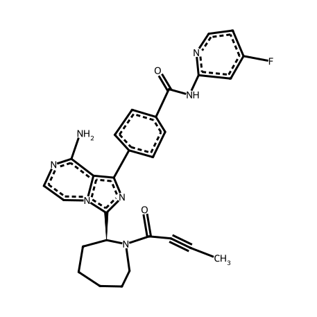 CC#CC(=O)N1CCCCC[C@H]1c1nc(-c2ccc(C(=O)Nc3cc(F)ccn3)cc2)c2c(N)nccn12